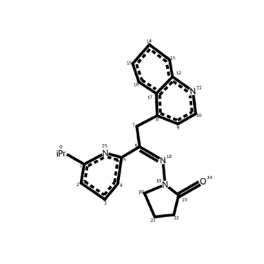 CC(C)c1cccc(C(Cc2ccnc3ccccc23)=NN2CCCC2=O)n1